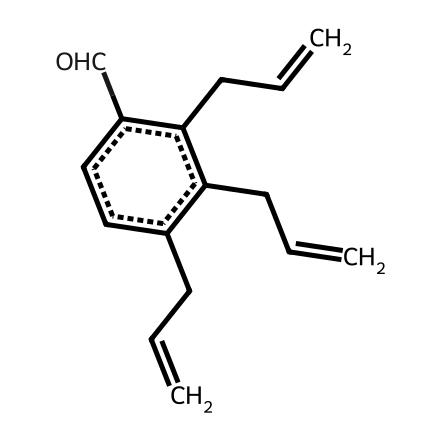 C=CCc1ccc(C=O)c(CC=C)c1CC=C